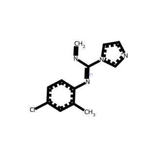 C=N/C(=N\c1ccc(Cl)cc1C)n1ccnc1